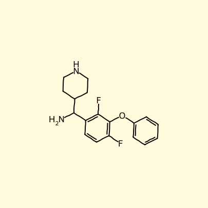 NC(c1ccc(F)c(Oc2ccccc2)c1F)C1CCNCC1